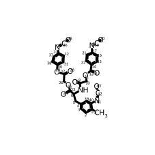 Cc1ccc(CC(NC(=O)COC(=O)c2ccc(N=C=O)cc2)C(=O)OCC(=O)Oc2ccc(N=C=O)cc2)cc1N=C=O